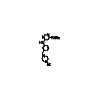 CCN1CCN(Cc2cccc(Nc3cc(NC)ncn3)c2)CC1